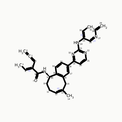 C=C=C/C(=C\C)C(=O)N[C@@H]1CC/C=C(/C)Cc2cc(-c3ccnc(NC(/C=N\C=C)=C/C)n3)ccc21